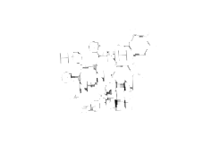 CCOc1ccc(-c2ccccc2CNC(=O)c2nc3n(c(=O)c2O)CCOC3(C)C)cn1